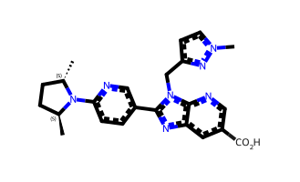 C[C@H]1CC[C@H](C)N1c1ccc(-c2nc3cc(C(=O)O)cnc3n2Cc2ccn(C)n2)cn1